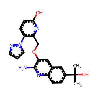 CC(C)(O)c1ccc2nc(N)c(OCc3nc(O)ccc3-n3cccn3)cc2c1